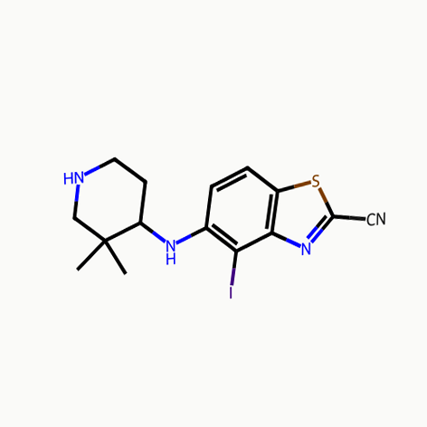 CC1(C)CNCCC1Nc1ccc2sc(C#N)nc2c1I